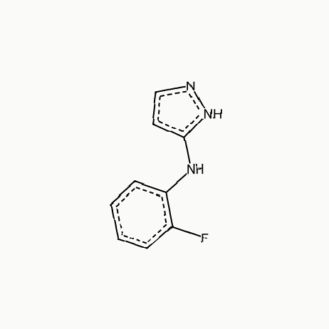 Fc1ccccc1Nc1ccn[nH]1